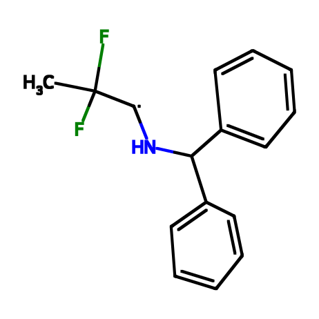 CC(F)(F)[CH]NC(c1ccccc1)c1ccccc1